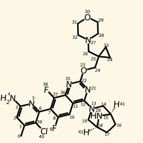 Cc1cc(N)nc(-c2c(F)cc3c(N4C[C@H]5CC[C@@H](C4)N5)nc(OCC4(CN5CCOCC5)CC4)nc3c2F)c1Cl